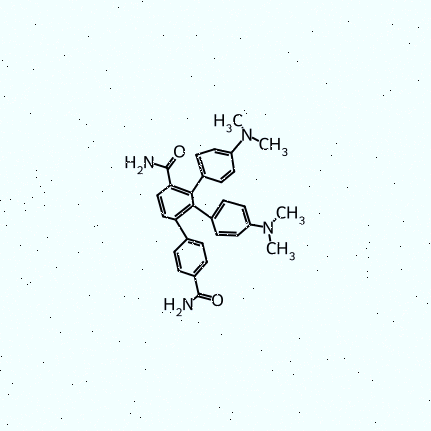 CN(C)c1ccc(-c2c(C(N)=O)ccc(-c3ccc(C(N)=O)cc3)c2-c2ccc(N(C)C)cc2)cc1